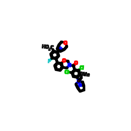 COCCN1C2CCC1CN(c1cc(Cl)c(C(=O)N3COc4c(cccc4-c4cc(N5C6CCC5COC6)c(C(=O)O)cc4F)C3)c(Cl)c1)C2